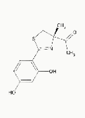 CC(=O)[C@@]1(C)CSC(c2ccc(O)cc2O)=N1